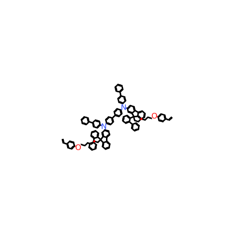 C=Cc1ccc(OCCCCCCC2(c3ccccc3-c3ccccc3)c3ccccc3-c3ccc(N(c4ccc(-c5ccccc5)cc4)c4ccc(-c5ccc(N(c6ccc(-c7ccccc7)cc6)c6ccc7c(c6)C(CCCCCCOc6ccc(C=C)cc6)(c6ccccc6-c6ccccc6)c6ccccc6-7)cc5)cc4)cc32)cc1